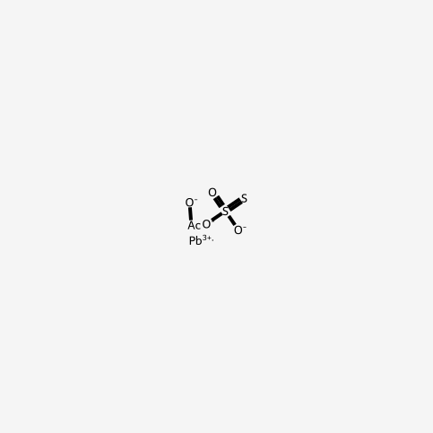 CC(=O)[O-].O=S([O-])([O-])=S.[Pb+3]